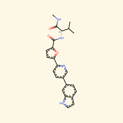 CNC(=O)[C@@H](NC(=O)c1ccc(-c2ccc(-c3ccc4cc[nH]c4c3)cn2)o1)C(C)C